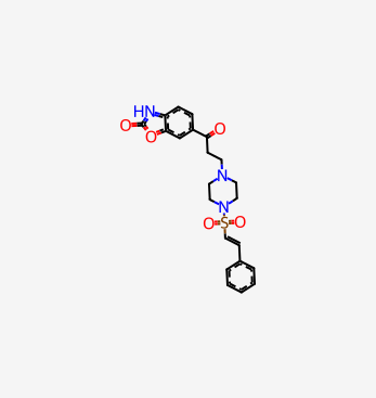 O=C(CCN1CCN(S(=O)(=O)C=Cc2ccccc2)CC1)c1ccc2[nH]c(=O)oc2c1